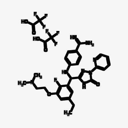 CCc1cc(OCCN(C)C)c(F)c(C(Nc2ccc(C(=N)N)cc2)c2nn(-c3ccccn3)c(=O)[nH]2)c1.O=C(O)C(F)(F)F.O=C(O)C(F)(F)F